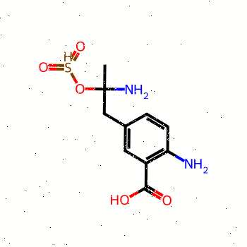 CC(N)(Cc1ccc(N)c(C(=O)O)c1)O[SH](=O)=O